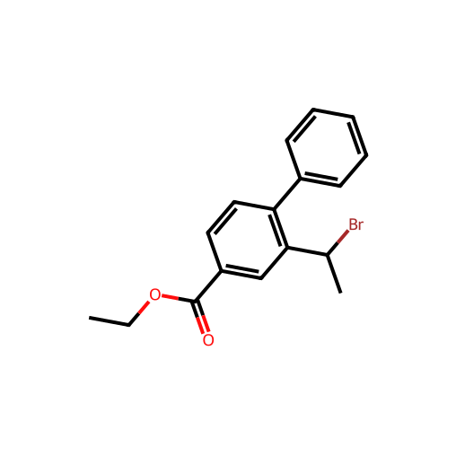 CCOC(=O)c1ccc(-c2ccccc2)c(C(C)Br)c1